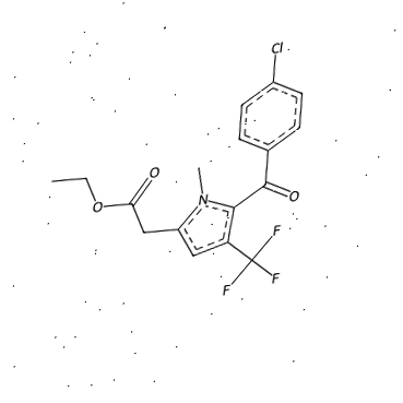 CCOC(=O)Cc1cc(C(F)(F)F)c(C(=O)c2ccc(Cl)cc2)n1C